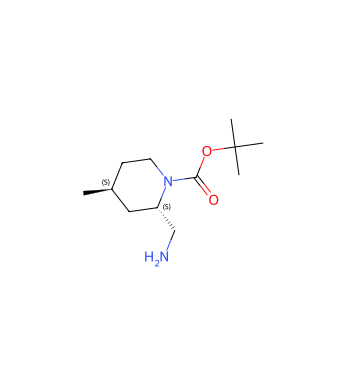 C[C@H]1CCN(C(=O)OC(C)(C)C)[C@H](CN)C1